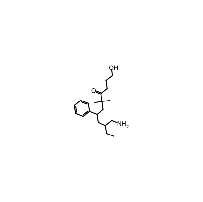 CCC(CN)CC(CC(C)(C)C(=O)CCCO)c1ccccc1